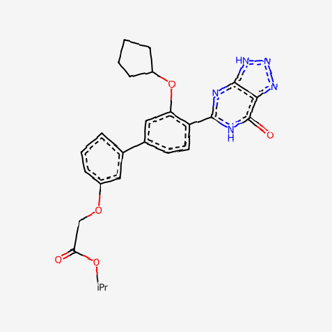 CC(C)OC(=O)COc1cccc(-c2ccc(-c3nc4[nH]nnc4c(=O)[nH]3)c(OC3CCCC3)c2)c1